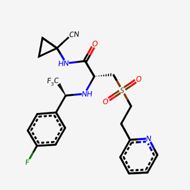 N#CC1(NC(=O)[C@H](CS(=O)(=O)CCc2ccccn2)N[C@@H](c2ccc(F)cc2)C(F)(F)F)CC1